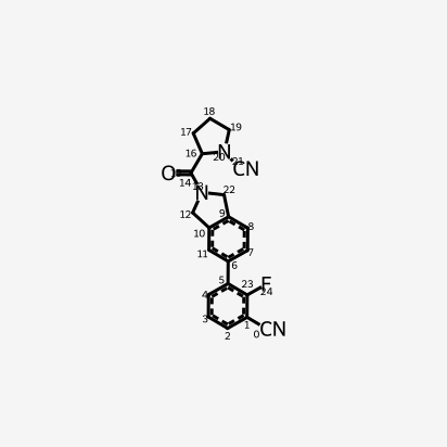 N#Cc1cccc(-c2ccc3c(c2)CN(C(=O)C2CCCN2C#N)C3)c1F